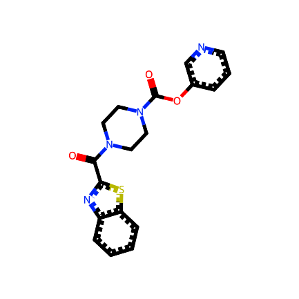 O=C(Oc1cccnc1)N1CCN(C(=O)c2nc3ccccc3s2)CC1